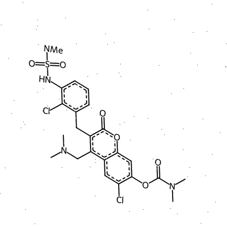 CNS(=O)(=O)Nc1cccc(Cc2c(CN(C)C)c3cc(Cl)c(OC(=O)N(C)C)cc3oc2=O)c1Cl